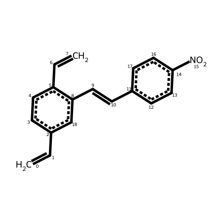 C=Cc1ccc(C=C)c(C=Cc2ccc([N+](=O)[O-])cc2)c1